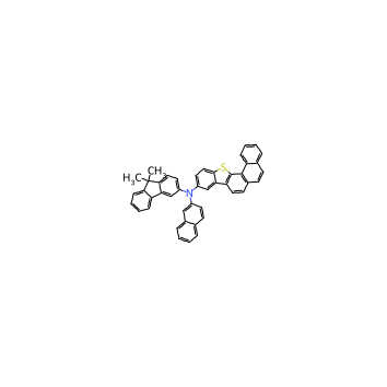 CC1(C)c2ccccc2-c2cc(N(c3ccc4ccccc4c3)c3ccc4sc5c(ccc6ccc7ccccc7c65)c4c3)ccc21